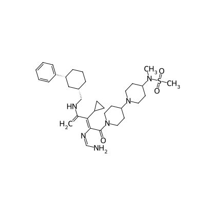 C=C(NC[C@H]1CCC[C@@H](c2ccccc2)C1)/C(=C(\N=C/N)C(=O)N1CCC(N2CCC(N(C)S(C)(=O)=O)CC2)CC1)C1CC1